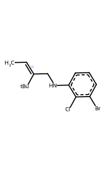 C/C=C(/CNc1cccc(Br)c1Cl)C(C)(C)C